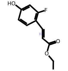 CCOC(=O)/C=C/c1ccc(O)cc1F